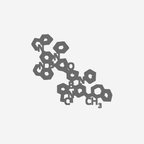 CC(c1cc2c3c(c1)N(c1ccccc1)c1cc4oc5cc6c(cc5c4cc1B3c1cccc3c1N2CCC3)B1c2cccc3c2N(CCC3)c2cc(N3CCCc4ccccc43)cc(c21)N6c1ccccc1)C1CCCc2ccccc2C1